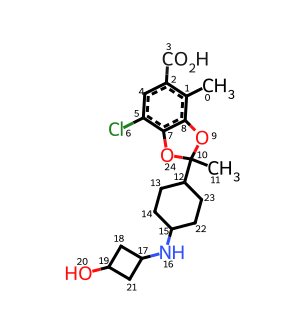 Cc1c(C(=O)O)cc(Cl)c2c1OC(C)(C1CCC(NC3CC(O)C3)CC1)O2